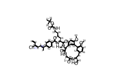 C=C/C(Cl)=C\C=C(/C)c1ccc(C(=O)N[C@@H](CCCCNC(=O)OC(C)(C)C)C(=O)N(C)[C@@H]2C(=O)N[C@@H](C)C(=O)N[C@H](C=O)Cc3ccc(OC)c(c3)-c3cc2ccc3OC)cc1